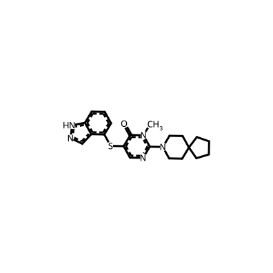 Cn1c(N2CCC3(CCCC3)CC2)ncc(Sc2cccc3[nH]ncc23)c1=O